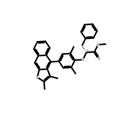 COC(=O)[C@@H](Cc1ccccc1)Oc1c(C)cc(-c2c3ccccc3cc3sc(C)c(C)c23)cc1C